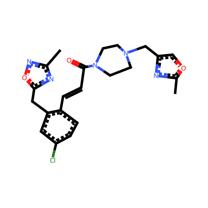 Cc1noc(Cc2cc(Cl)ccc2C=CC(=O)N2CCN(Cc3coc(C)n3)CC2)n1